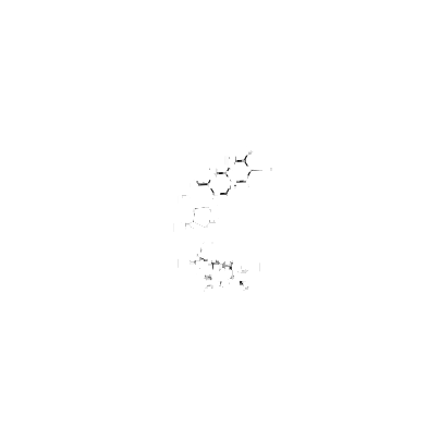 O=c1nc2[nH]c(=O)c(F)cn2cc1[C@@H]1O[C@H](COP(=O)(O)OP(=O)(O)OP(=O)(O)O)C(O)[C@@H]1O